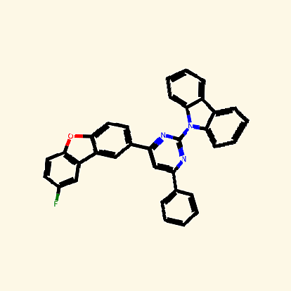 Fc1ccc2oc3ccc(-c4cc(-c5ccccc5)nc(-n5c6ccccc6c6ccccc65)n4)cc3c2c1